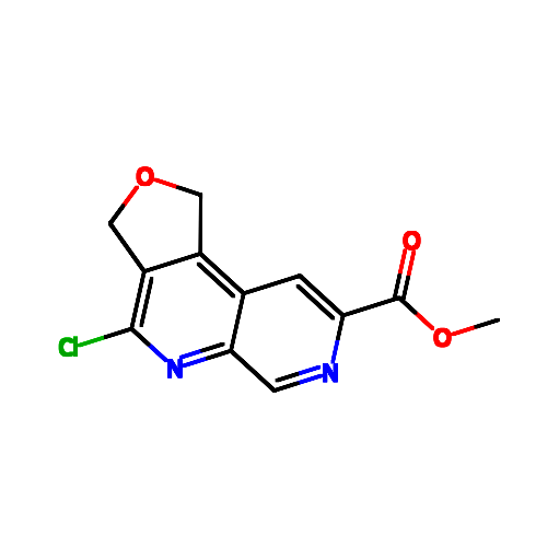 COC(=O)c1cc2c3c(c(Cl)nc2cn1)COC3